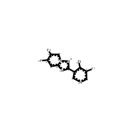 CCc1c(F)cncc1-c1nc2cc(F)c(F)cn2n1